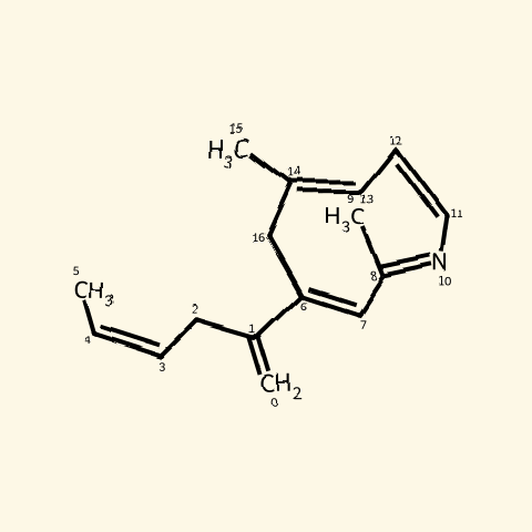 C=C(C/C=C\C)/C1=C/C(C)=N/C=C\C=C(/C)C1